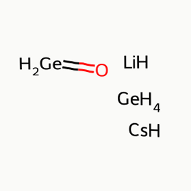 [CsH].[GeH4].[LiH].[O]=[GeH2]